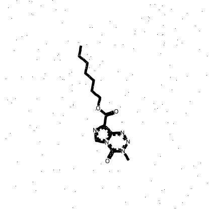 CCCCCCCOC(=O)c1ncn2c(=O)n(C)nnc12